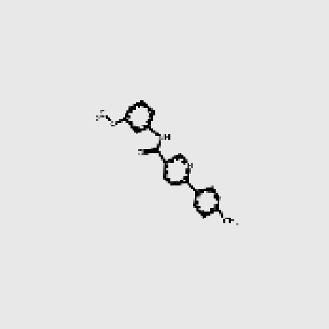 COc1cccc(NC(=O)c2ccc(-c3ccc(C)cc3)nc2)c1